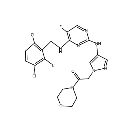 O=C(Cn1cc(Nc2ncc(F)c(NCc3c(Cl)ccc(Cl)c3Cl)n2)cn1)N1CCOCC1